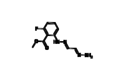 COC(=O)c1c(F)cccc1N/N=C/C=N/N